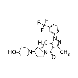 Cc1nn(-c2cccc(C(F)(F)F)c2)c(C)c1C(=O)N1CCC(N2CCC(O)CC2)CC1